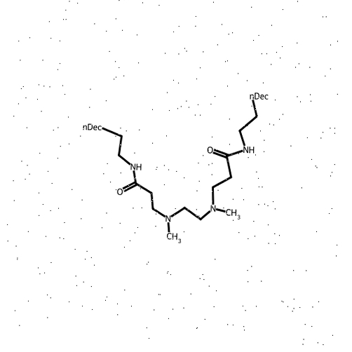 CCCCCCCCCCCCNC(=O)CCN(C)CCN(C)CCC(=O)NCCCCCCCCCCCC